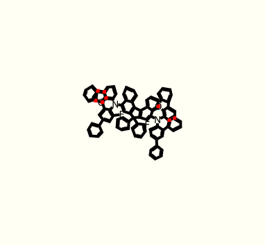 Fc1cc(-c2ccccc2)cc(-c2ccccc2)c1N(c1cc2c(c3ccccc13)-c1c(cc(N(c3c(F)cc(-c4ccccc4)cc3-c3ccccc3)c3cccc4c3oc3ccccc34)c3ccccc13)C2(c1ccccc1)c1ccccc1)c1cccc2c1oc1ccccc12